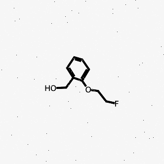 OCc1ccccc1OCCF